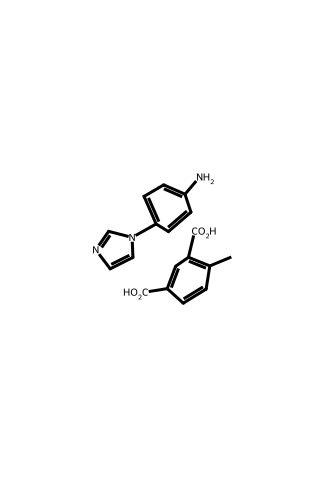 Cc1ccc(C(=O)O)cc1C(=O)O.Nc1ccc(-n2ccnc2)cc1